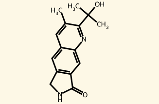 Cc1cc2cc3c(cc2nc1C(C)(C)O)C(=O)NC3